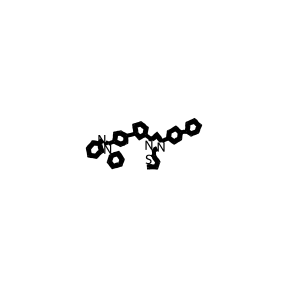 c1ccc(-c2ccc(-c3cc(-c4cccc(-c5ccc(-c6nc7ccccc7n6-c6ccccc6)cc5)c4)nc(-c4cccs4)n3)cc2)cc1